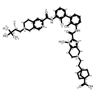 Cn1c(C(=O)Nc2cccc(-c3cccc(NC(=O)c4cc5c(cn4)CN(C[C@@H](F)C(C)(C)O)CC5)c3Cl)c2Cl)nc2c1CCN(CCC13CCC(C(=O)O)(CC1)C3)C2